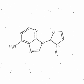 Nc1ncnc2c1ncn2C1OC=C[C@@H]1F